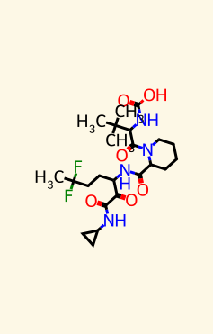 CC(F)(F)CCC(NC(=O)C1CCCCN1C(=O)C(NC(=O)O)C(C)(C)C)C(=O)C(=O)NC1CC1